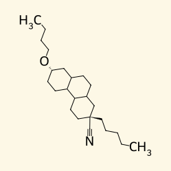 CCCCC[C@@]1(C#N)CCC2C(CCC3C[C@@H](OCCCC)CCC32)C1